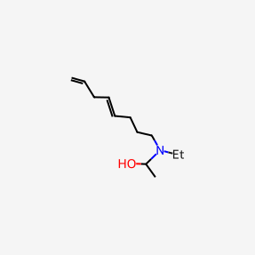 C=CC/C=C/CCCN(CC)C(C)O